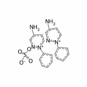 Nc1cc[n+](-c2ccccc2)nc1.Nc1cc[n+](-c2ccccc2)nc1.O=S(=O)([O-])[O-]